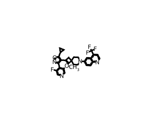 COc1cncc(F)c1-c1noc(C2CC2)c1C1=CC2(CCN(c3ccc4nccc(C(F)(F)F)c4c3)CC2)C1